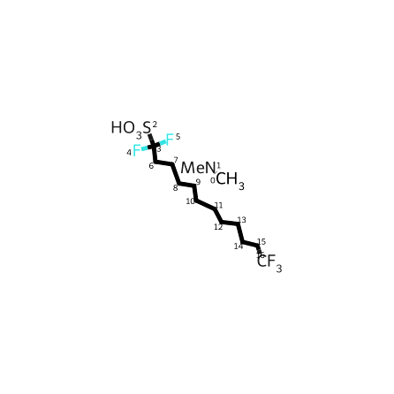 CNC.O=S(=O)(O)C(F)(F)CCCCCCCCCCC(F)(F)F